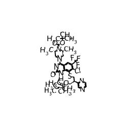 C[C@@H]1CN(c2nc(=O)[nH]c3c(SCC(CO[Si](C)(C)C(C)(C)C)c4cnccn4)c(Cl)c(C(F)(F)F)cc23)C[C@H](C)N1C(=O)OC(C)(C)C